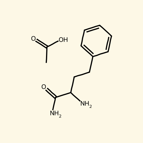 CC(=O)O.NC(=O)C(N)CCc1ccccc1